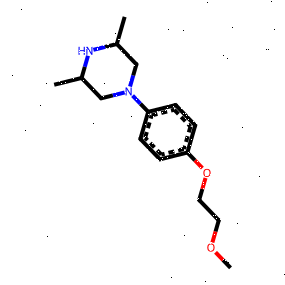 COCCOc1ccc(N2CC(C)NC(C)C2)cc1